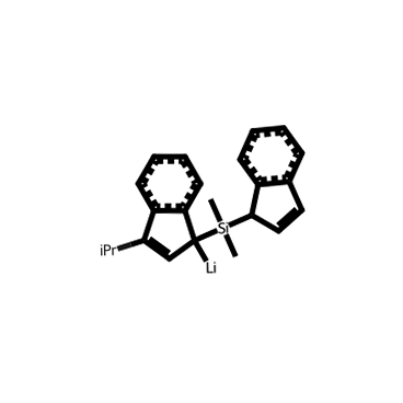 [Li][C]1([Si](C)(C)C2C=Cc3ccccc32)C=C(C(C)C)c2ccccc21